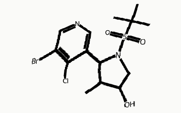 CC1C(O)CN(S(=O)(=O)C(C)(C)C)C1c1cncc(Br)c1Cl